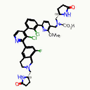 COc1nc(-c2cccc(-c3ccnc(-c4cc(F)c5c(c4)CCN(C[C@@H]4CCC(=O)N4)C5)c3Cl)c2Cl)ccc1CN(C[C@@H]1CCC(=O)N1)C(=O)O